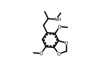 CNC(C)Cc1cc(OC)c2c(c1OC)OCO2